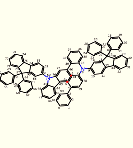 c1ccc(-c2ccc(N(c3ccc4c(c3)C(c3ccccc3)(c3ccccc3)c3ccccc3-4)c3ccccc3-c3ccc4c5ccccc5n(-c5ccc6c(c5)C(c5ccccc5)(c5ccccc5)c5ccccc5-6)c4c3)cc2)cc1